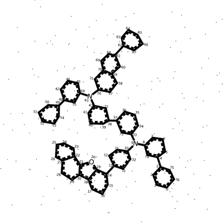 c1ccc(-c2cccc(N(c3ccc(-c4cccc5c4oc4c6ccccc6ccc54)cc3)c3cccc(-c4cccc(N(c5cccc(-c6ccccc6)c5)c5ccc6cc(-c7ccccc7)ccc6c5)c4)c3)c2)cc1